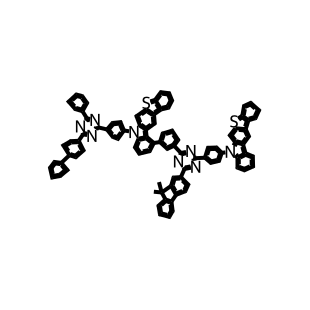 CC1(C)c2ccccc2-c2ccc(-c3nc(-c4ccc(-n5c6ccccc6c6cc7c(cc65)sc5ccccc57)cc4)nc(-c4cccc(-c5cccc6c5c5cc7c(cc5n6-c5ccc(-c6nc(-c8ccccc8)nc(-c8ccc(-c9ccccc9)cc8)n6)cc5)sc5ccccc57)c4)n3)cc21